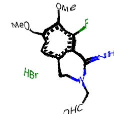 Br.COc1cc2c(c(F)c1OC)C(=N)N(CC=O)C2